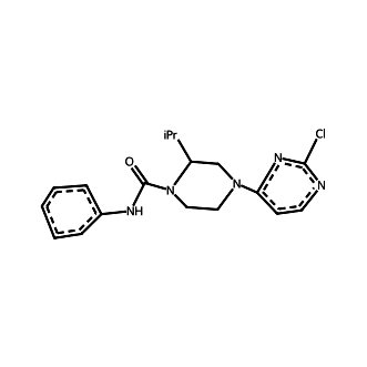 CC(C)C1CN(c2ccnc(Cl)n2)CCN1C(=O)Nc1ccccc1